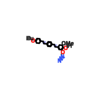 CCC(C)OC1=CC=C(/C=C/c2ccc(/C=C/C3=CC(OCN=[N+]=[N-])=C(OC(C)C)C(OC)C3)cc2)CC1